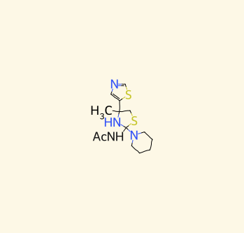 CC(=O)NC1(N2CCCCC2)NC(C)(c2cncs2)CS1